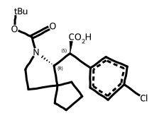 CC(C)(C)OC(=O)N1CCC2(CCCC2)[C@H]1[C@@H](C(=O)O)c1ccc(Cl)cc1